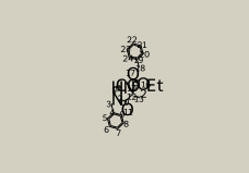 CCOC(=O)CN(Cc1ccccc1)C(=O)[C@H](C)NC(=O)OCc1ccccc1